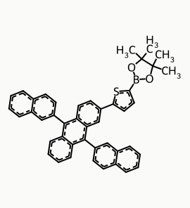 CC1(C)OB(c2ccc(-c3ccc4c(-c5ccc6ccccc6c5)c5ccccc5c(-c5ccc6ccccc6c5)c4c3)s2)OC1(C)C